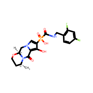 C[C@@H]1CCO[C@H]2Cn3cc(P(=O)(O)C(=O)NCc4ccc(F)cc4F)c(O)c3C(=O)N12